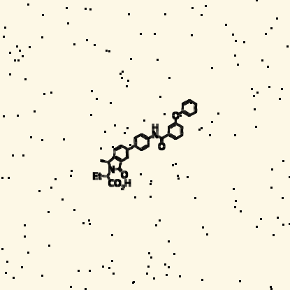 CCC(C(=O)O)N1C(=O)c2cc(-c3ccc(NC(=O)c4cccc(Oc5ccccc5)c4)cc3)ccc2[C@@H]1C